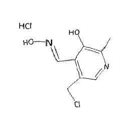 Cc1ncc(CCl)c(C=NO)c1O.Cl